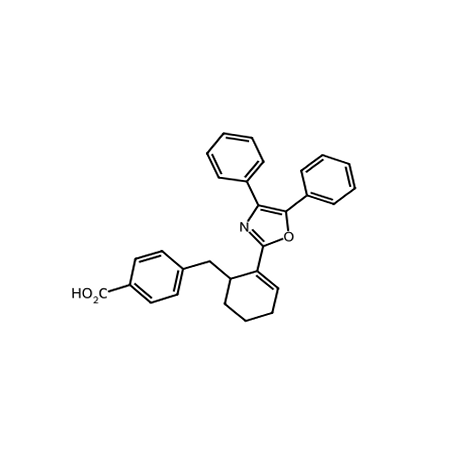 O=C(O)c1ccc(CC2CCCC=C2c2nc(-c3ccccc3)c(-c3ccccc3)o2)cc1